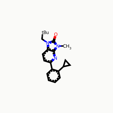 Cn1c(=O)n(CC(C)(C)C)c2ccc(-c3ccccc3C3CC3)nc21